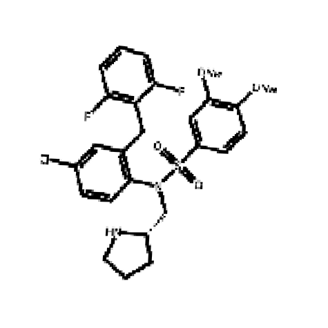 COc1ccc(S(=O)(=O)N(C[C@@H]2CCCN2)c2ccc(Cl)cc2Cc2c(F)cccc2F)cc1OC